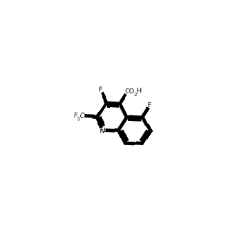 O=C(O)c1c(F)c(C(F)(F)F)nc2cccc(F)c12